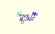 Cc1cc(-c2[nH]c3cc(C(=O)N(C)[C@@H]4CNC[C@H](C(F)(F)F)C4)sc3c2C(C)C)cn2ncnc12